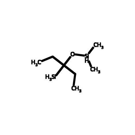 CCC([SiH3])(CC)O[SiH](C)C